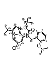 CC(C)Oc1ccccc1CN(C(=O)OC(C)(C)C)c1cc(Cl)nn2c(C(C)C)cnc12